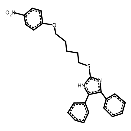 O=[N+]([O-])c1ccc(OCCCCCSc2nc(-c3ccccc3)c(-c3ccccc3)[nH]2)cc1